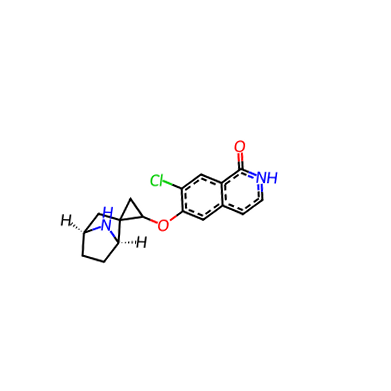 O=c1[nH]ccc2cc(OC3CC34C[C@@H]3CC[C@H]4N3)c(Cl)cc12